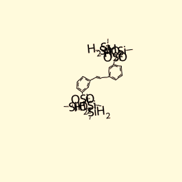 C[SiH2]O[Si](O[SiH2]C)(O[SiH2]C)c1cccc(C=Cc2cccc([Si](O[SiH2]C)(O[SiH2]C)O[SiH2]C)c2)c1